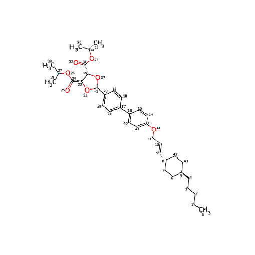 CCCCC[C@H]1CC[C@H](C=CCOc2ccc(-c3ccc(C4O[C@@H](C(=O)OC(C)C)[C@H](C(=O)OC(C)C)O4)cc3)cc2)CC1